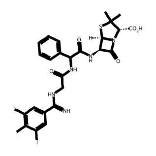 CC1(C)S[C@@H]2[C@H](NC(=O)C(NC(=O)CNC(=N)c3cc(I)c(I)c(I)c3)c3ccccc3)C(=O)N2[C@H]1C(=O)O